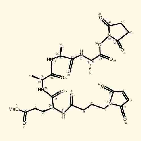 COC(=O)CC[C@H](NC(=O)CCCN1C(=O)C=CC1=O)C(=O)N[C@@H](C)C(=O)N[C@@H](C)C(=O)N[C@@H](C)C(=O)ON1C(=O)CCC1=O